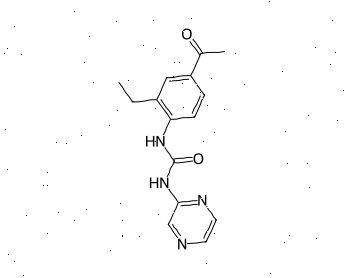 CCc1cc(C(C)=O)ccc1NC(=O)Nc1cnccn1